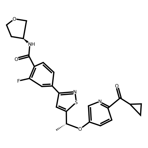 C[C@@H](Oc1ccc(C(=O)C2CC2)nc1)c1cc(-c2ccc(C(=O)N[C@H]3CCOC3)c(F)c2)ns1